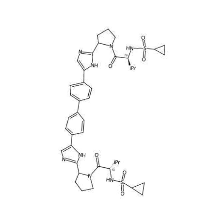 CC(C)[C@H](NS(=O)(=O)C1CC1)C(=O)N1CCCC1c1ncc(-c2ccc(-c3ccc(-c4cnc(C5CCCN5C(=O)[C@@H](NS(=O)(=O)C5CC5)C(C)C)[nH]4)cc3)cc2)[nH]1